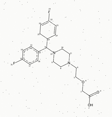 O=C(O)COCCN1CCN(C(c2ccc(F)cc2)C2C=CC(F)=CC2)CC1